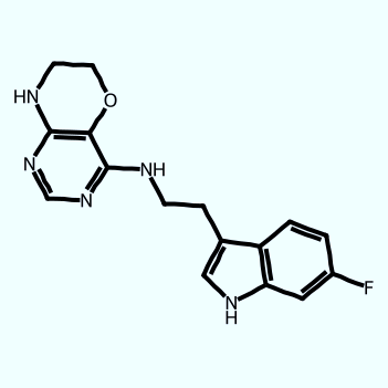 Fc1ccc2c(CCNc3ncnc4c3OCCN4)c[nH]c2c1